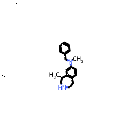 C[C@@H]1CNCCc2ccc(N(C)Cc3ccccc3)cc21